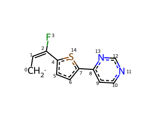 [CH2]/C=C(/F)c1ccc(-c2ccncn2)s1